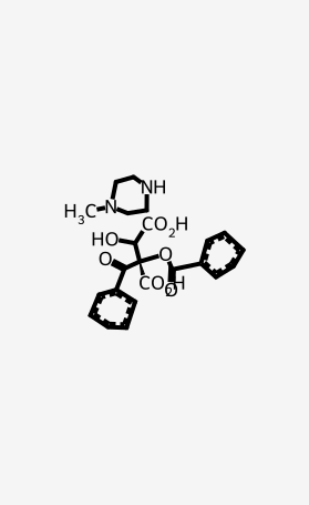 CN1CCNCC1.O=C(O[C@](C(=O)O)(C(=O)c1ccccc1)C(O)C(=O)O)c1ccccc1